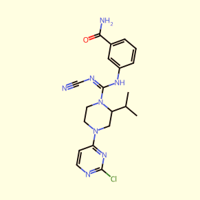 CC(C)C1CN(c2ccnc(Cl)n2)CCN1/C(=N\C#N)Nc1cccc(C(N)=O)c1